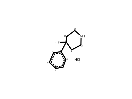 Cl.FC1(c2ccccc2)CCNCC1